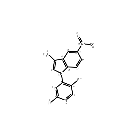 Cc1cn(-c2nc(Cl)ncc2F)c2ccc([N+](=O)[O-])cc12